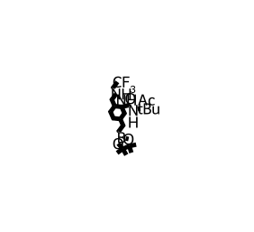 CC(=O)NC1(C(=O)NC(C)(C)C)CC(CCB2OC(C)(C)C(C)(C)O2)CCC1CNCC(F)(F)F